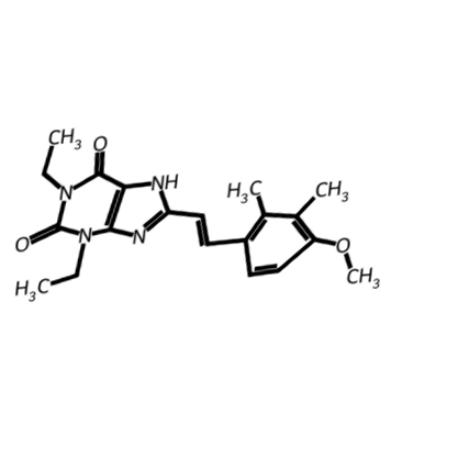 CCn1c(=O)c2[nH]c(/C=C/c3ccc(OC)c(C)c3C)nc2n(CC)c1=O